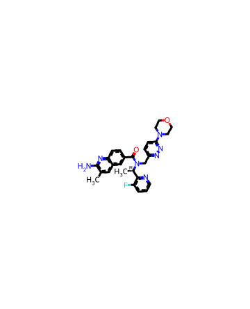 Cc1cc2cc(C(=O)N(Cc3ccc(N4CCOCC4)nn3)[C@H](C)c3ncccc3F)ccc2nc1N